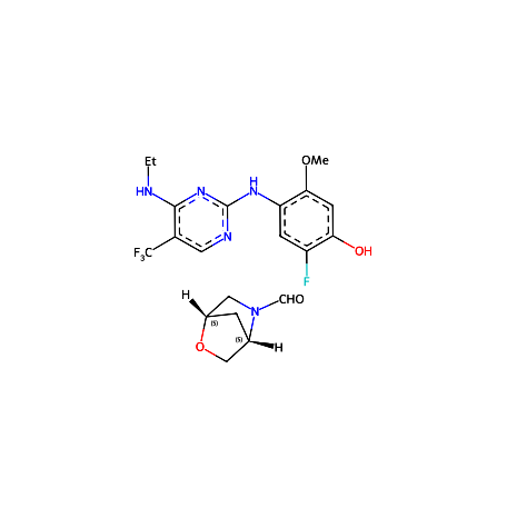 CCNc1nc(Nc2cc(F)c(O)cc2OC)ncc1C(F)(F)F.O=CN1C[C@@H]2C[C@H]1CO2